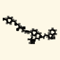 CC(C)(C)[Si](C)(C)OCCN(CCc1c[nH]c2ccccc12)Cc1ccc(C#CCNC(=O)COCc2ccc(F)cc2)cc1